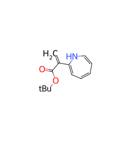 C=C(C(=O)OC(C)(C)C)C1=CC=CC=CN1